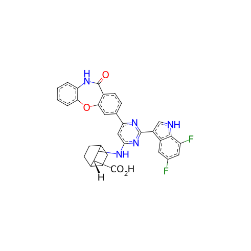 O=C1Nc2ccccc2Oc2cc(-c3cc(NC4C5CCC(CC5)[C@H]4C(=O)O)nc(-c4c[nH]c5c(F)cc(F)cc45)n3)ccc21